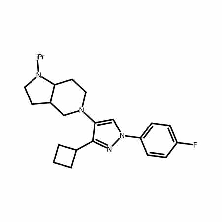 CC(C)N1CCC2CN(c3cn(-c4ccc(F)cc4)nc3C3CCC3)CCC21